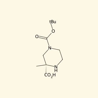 CC(C)(C)OC(=O)N1CCN[C@](C)(C(=O)O)C1